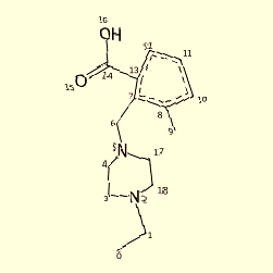 CCN1CCN(Cc2c(C)cccc2C(=O)O)CC1